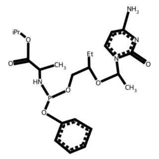 CCC(COP(NC(C)C(=O)OC(C)C)Oc1ccccc1)OC(C)n1ccc(N)nc1=O